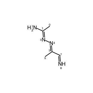 C/C(N)=N\N=C(/C)C=N